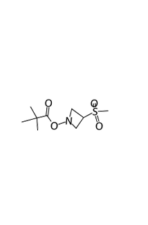 CC(C)(C)C(=O)ON1CC(S(C)(=O)=O)C1